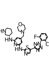 Fc1cccc(Cl)c1-n1nnc(-c2cnc(Nc3cc(CN4CCOCC4)cc(N[C@H]4CCCNC4)n3)s2)n1